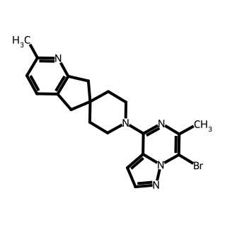 Cc1ccc2c(n1)CC1(CCN(c3nc(C)c(Br)n4nccc34)CC1)C2